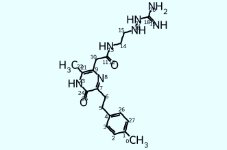 Cc1ccc(CCc2nc(CC(=O)NCCNNC(=N)N)c(C)[nH]c2=O)cc1